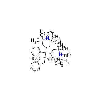 CCCN1C(C)(C)CC(C(c2ccccc2)(C2CC(C)(C)N(CCC)C(C)(C)C2)C(Cc2ccccc2)(C(=O)O)C(=O)O)CC1(C)C